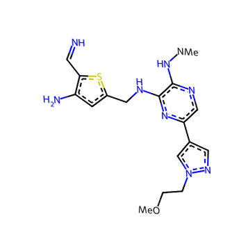 CNNc1ncc(-c2cnn(CCOC)c2)nc1NCc1cc(N)c(C=N)s1